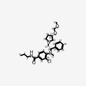 CCCNC(=O)c1ccc(N(C)[C@H](CN2CC[C@H](OCOC)C2)c2ccccc2)c(Cl)c1